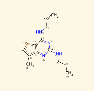 C=CCNc1nc(NCCC)nc2c(C)csc12